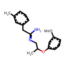 COc1cccc(OC(C)CN=C(N)Cc2cccc(C)c2)c1